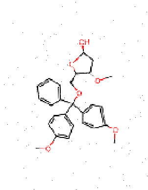 COc1ccc(C(OC[C@H]2O[C@@H](O)C[C@@H]2OC)(c2ccccc2)c2ccc(OC)cc2)cc1